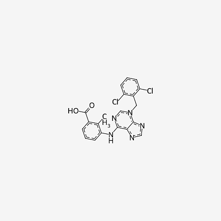 Cc1c(Nc2ncn(Cc3c(Cl)cccc3Cl)c3ncnc2-3)cccc1C(=O)O